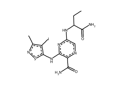 CCC(Nc1cnc(C(N)=O)c(Nc2snc(C)c2I)n1)C(N)=O